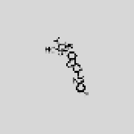 CC(C)[C@H](NS(=O)(=O)c1ccc2c(c1)oc1cc(-c3nc4ccc(F)cc4s3)ccc12)C(=O)O